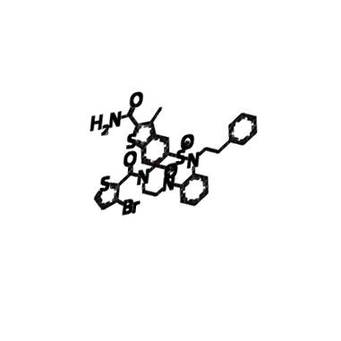 Cc1c(C(N)=O)sc2ccc(S(=O)(=O)N(CCc3ccccc3)c3ccccc3N3CCN(C(=O)c4sccc4Br)CC3)cc12